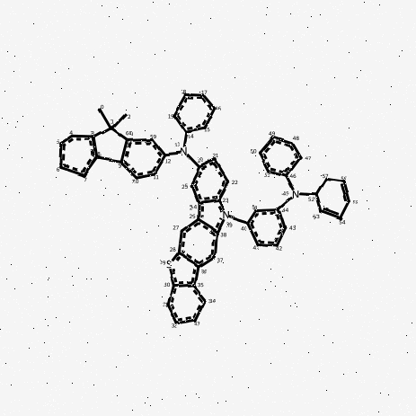 CC1(C)c2ccccc2-c2ccc(N(c3ccccc3)c3ccc4c(c3)c3cc5sc6ccccc6c5cc3n4-c3cccc(N(c4ccccc4)C4C=CC=CC4)c3)cc21